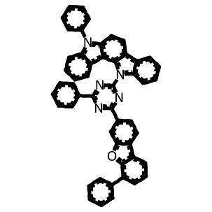 c1ccc(-c2nc(-c3ccc4c(c3)oc3c(-c5ccccc5)cccc34)nc(-n3c4ccccc4c4ccc5c(c6ccccc6n5-c5ccccc5)c43)n2)cc1